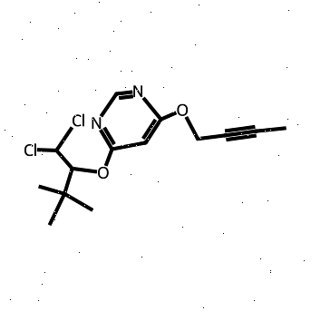 CC#CCOc1cc(OC(C(Cl)Cl)C(C)(C)C)ncn1